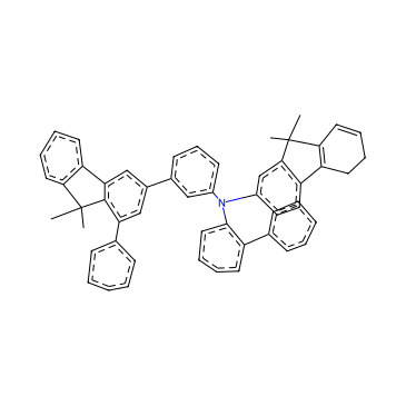 CC1(C)C2=C(CCC=C2)c2ccc(N(c3cccc(-c4cc(-c5ccccc5)c5c(c4)-c4ccccc4C5(C)C)c3)c3ccccc3-c3ccccc3)cc21